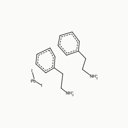 [I][Pb][I].[NH3+]CCc1ccccc1.[NH3+]CCc1ccccc1